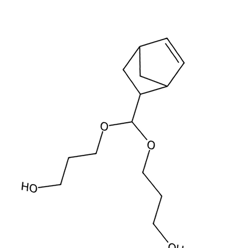 OCCCOC(OCCCO)C1CC2C=CC1C2